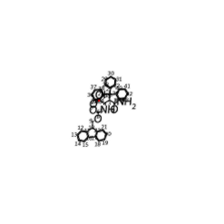 NC(=O)C([C@H](NC(=O)OCC1c2ccccc2-c2ccccc21)C(=O)O)C(c1ccccc1)(c1ccccc1)c1ccccc1